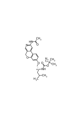 CC(=O)Nc1cc2c(cn1)COc1cc(OC[C@@H](CC(C)C)NC(=O)OC(C)(C)C)ccc1-2